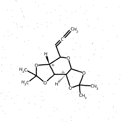 C=C=CC1OC2OC(C)(C)O[C@H]2C2OC(C)(C)O[C@H]12